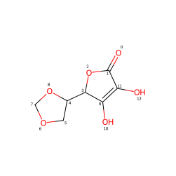 O=C1OC(C2COCO2)C(O)=C1O